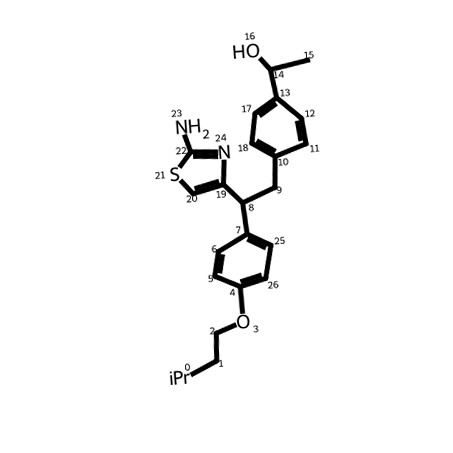 CC(C)CCOc1ccc(C(Cc2ccc(C(C)O)cc2)c2csc(N)n2)cc1